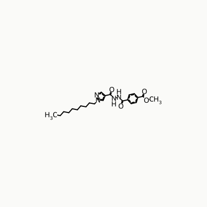 CCCCCCCCCCn1cc(C(=O)NNC(=O)c2ccc(C(=O)OC)cc2)cn1